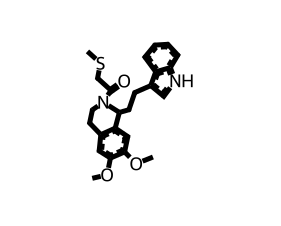 COc1cc2c(cc1OC)C(CCc1c[nH]c3ccccc13)N(C(=O)CSC)CC2